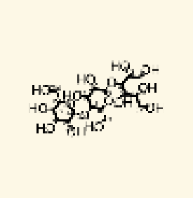 OC[C@@H](O)C(O[C@H]1O[C@H](CO)[C@@H](O[C@H]2O[C@H](CO)[C@@H](O)[C@H](O)[C@H]2O)C(O)[C@H]1O)[C@H](O)[C@@H](O)CO